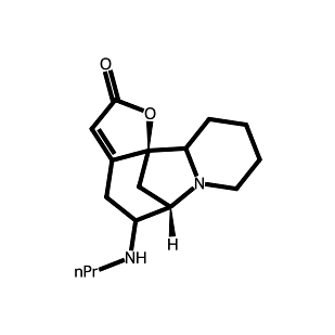 CCCNC1CC2=CC(=O)O[C@@]23C[C@@H]1N1CCCCC13